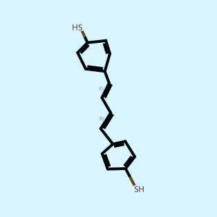 Sc1ccc(/C=C/C=C/c2ccc(S)cc2)cc1